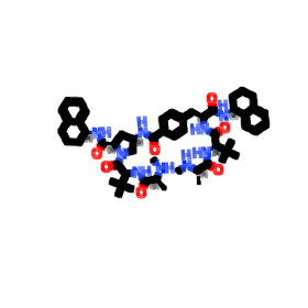 CN[C@@H](C)C(=O)NC(C(=O)N1C[C@@H](NC(=O)c2ccc(C[C@H](NC(=O)[C@@H](NC(=O)[C@H](C)NC)C(C)(C)C)C(=O)N[C@@H]3CCCc4ccccc43)cc2)C[C@H]1C(=O)N[C@@H]1CCCc2ccccc21)C(C)(C)C